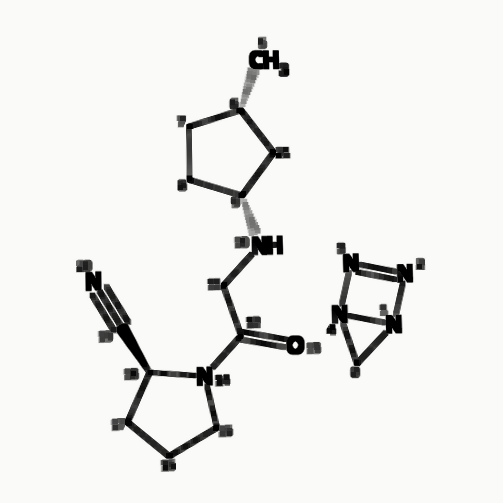 C1n2nnn21.C[C@H]1CC[C@@H](NCC(=O)N2CCC[C@H]2C#N)C1